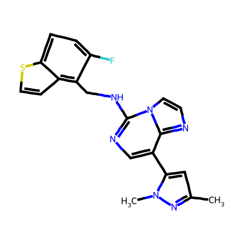 Cc1cc(-c2cnc(NCc3c(F)ccc4sccc34)n3ccnc23)n(C)n1